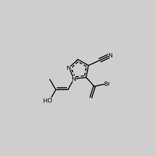 C=C(Br)c1c(C#N)cnn1/C=C(\C)O